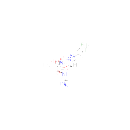 CCCC(C)(C)[C@@H](C(=O)C(=O)NCc1ccn[nH]1)N(C(=O)O)[C@@H](CC)Cn1ccc(-c2ccc(C(F)(F)F)cc2)n1